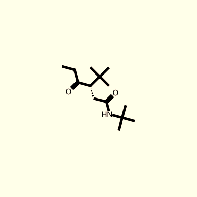 CCC(=O)[C@@H](CC(=O)NC(C)(C)C)C(C)(C)C